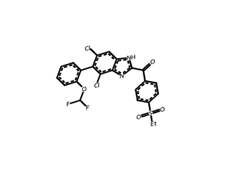 CCS(=O)(=O)c1ccc(C(=O)c2nc3c(Cl)c(-c4ccccc4OC(F)F)c(Cl)cc3[nH]2)cc1